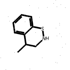 CC1CNSc2ccccc21